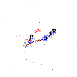 CC(C)C[C@H](NC(=O)[C@@H](O)[C@H](N)Cc1ccccc1)C(=O)NCCOCCOCCNc1ccc(NC(=O)c2ccn3c(n2)nc2ccccc23)cn1.O=CO